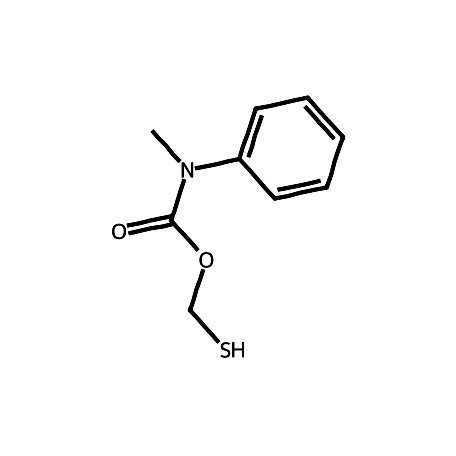 CN(C(=O)OCS)c1ccccc1